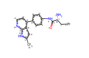 CC(C)C[C@@H](N)C(=O)Nc1ccc(-c2ccnc3[nH]c(C(F)(F)F)cc23)cc1